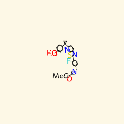 COC(=O)C1CN(Cc2ccc(-c3nc4ccc(C5(c6ccc(O)cc6)CC5)nc4s3)c(F)c2)C1